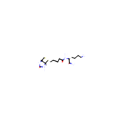 NCCCC[C@H](NC(=O)CCCC[C@@H]1SC[C@@H]2NC(=O)N[C@@H]21)C(N)=O